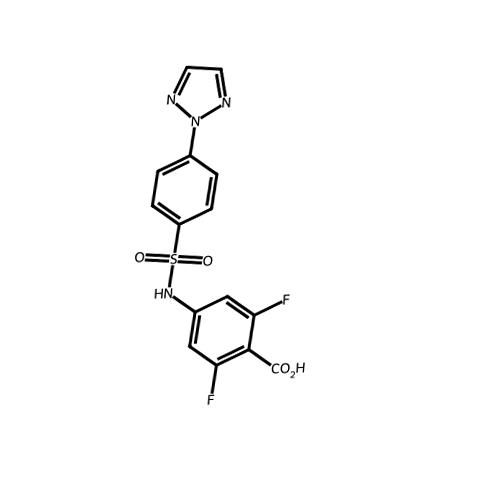 O=C(O)c1c(F)cc(NS(=O)(=O)c2ccc(-n3nccn3)cc2)cc1F